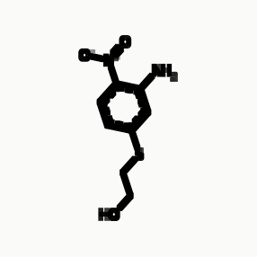 Nc1cc(SCCO)ccc1[N+](=O)[O-]